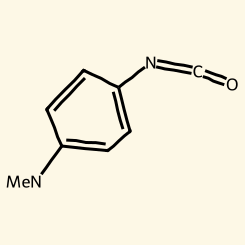 CNc1ccc(N=C=O)cc1